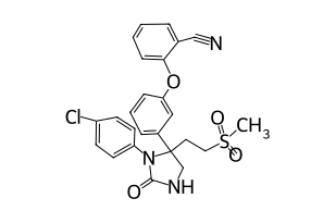 CS(=O)(=O)CCC1(c2cccc(Oc3ccccc3C#N)c2)CNC(=O)N1c1ccc(Cl)cc1